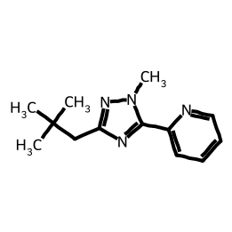 Cn1nc(CC(C)(C)C)nc1-c1ccccn1